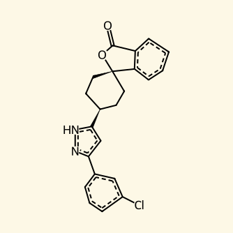 O=C1O[C@]2(CC[C@H](c3cc(-c4cccc(Cl)c4)n[nH]3)CC2)c2ccccc21